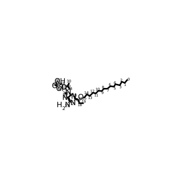 CCCCCCCCCCCCCCCCOC(CC)c1nc(N)c2ncn(CC(C)OCP(=O)(O)O)c2n1